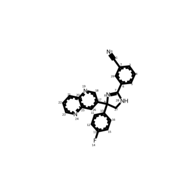 N#Cc1cccc(C2=NC(c3ccc(F)cc3)(c3cnc4cccnc4c3)CN2)c1